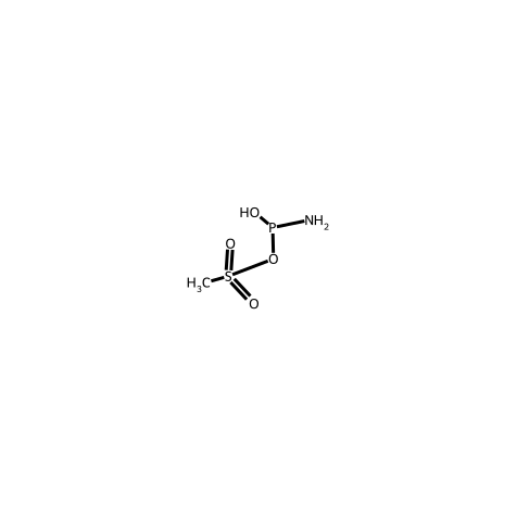 CS(=O)(=O)OP(N)O